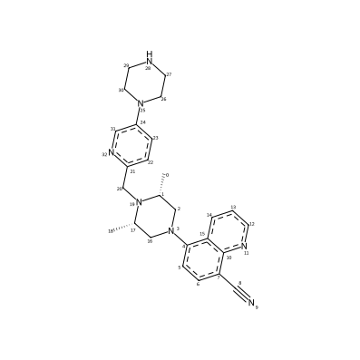 C[C@@H]1CN(c2ccc(C#N)c3ncccc23)C[C@H](C)N1Cc1ccc(N2CCNCC2)cn1